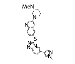 CNC1CCCN(c2cnc3ccc(Sc4nnc5ccc(-c6cnn(C)c6)cn45)cc3c2)C1